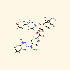 CNc1ccccc1CCN(C=O)C1CCN(C(=O)O[C@H](Cc2cc(C)c(N)c(C)c2)C(=O)N2CCN(C3CCOCC3)CC2)CC1